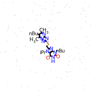 CCCCc1c(C)nc2nc(SCc3nc4c(c(=O)[nH]c(=O)n4CCCC)n3C(C)C)nn2c1C